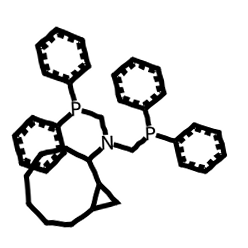 c1ccc(P(CN(CP(c2ccccc2)c2ccccc2)C2CCCCCCC3CC32)c2ccccc2)cc1